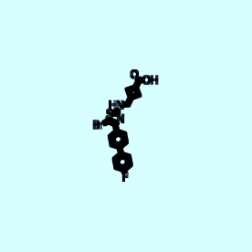 O=C(O)C1CC(CNc2nc(-c3ccc(-c4ccc(F)cc4)cc3)c(Br)s2)C1